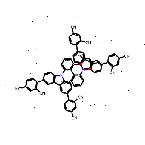 N#Cc1ccc(-c2ccc3c(c2)c2cc(-c4ccc(C#N)cc4C#N)ccc2n3-c2cccc(C#N)c2-c2c(-c3ccc(C(F)(F)F)cc3C#N)cccc2-n2c3ccc(-c4ccc(C#N)cc4C#N)cc3c3cc(-c4ccc(C#N)cc4C#N)ccc32)c(C#N)c1